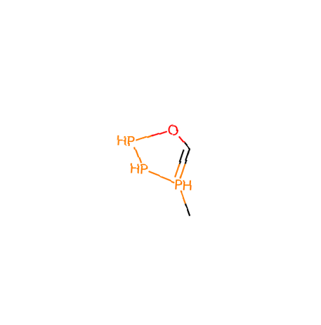 C[PH]1=COPP1